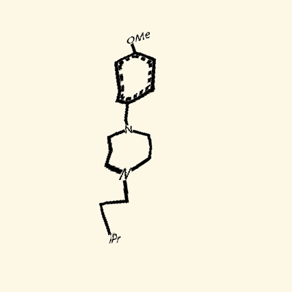 COc1ccc(N2CCN(CCC(C)C)CC2)cc1